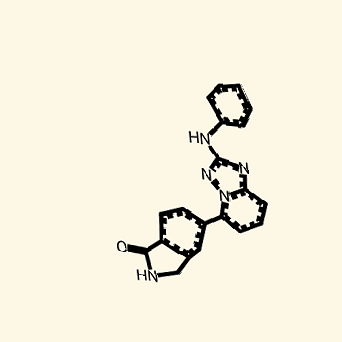 O=C1NCc2cc(-c3cccc4nc(Nc5ccccc5)nn34)ccc21